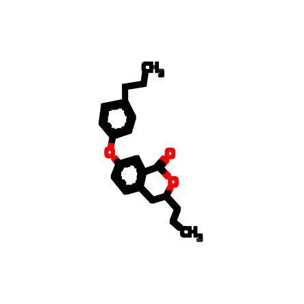 CCCc1ccc(Oc2ccc3c(c2)C(=O)OC(CCC)C3)cc1